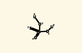 O=S(=S)([O][U])[O][U]